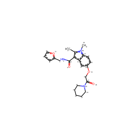 Cc1c(C(=O)NCc2ccco2)c2cc(OCC(=O)N3CCCCC3)ccc2n1C